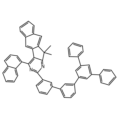 CC1(C)c2cc3ccccc3cc2-c2c(-c3cccc4ccccc34)nc(-c3cccc(-c4cccc(-c5cc(-c6ccccc6)cc(-c6ccccc6)c5)c4)c3)nc21